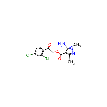 Cc1nn(C)c(N)c1C(=O)OCC(=O)c1ccc(Cl)cc1Cl